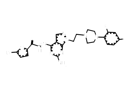 Nc1nc(NNC(=O)c2ccc(Br)o2)c2cnn(CCN3CCN(c4ccc(F)cc4F)CC3)c2n1